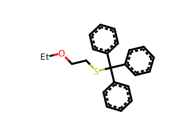 CCOCCSC(c1ccccc1)(c1ccccc1)c1ccccc1